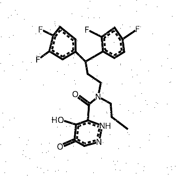 CCCN(CCC(c1ccc(F)c(F)c1)c1ccc(F)cc1F)C(=O)c1[nH]ncc(=O)c1O